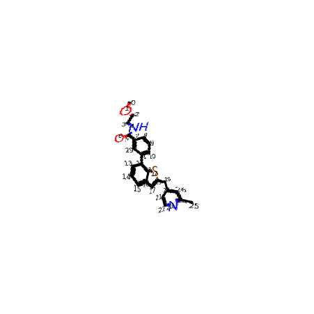 COCCNC(=O)c1cccc(-c2cccc3cc(Cc4ccnc(C)c4)sc23)c1